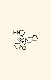 O=S(=O)(c1ccccc1Cl)C(C1CCCNC1)N1CCc2ccccc2C1